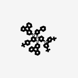 CC(C)(C)c1ccc(-c2cc3c4c(c2)N(c2ccc5c6ccccc6c6ccccc6c5c2)c2cc(-n5c6ccc(C(C)(C)C)cc6c6cc(C(C)(C)C)ccc65)ccc2B4c2cc(-c4ccccc4)ccc2N3c2ccc3c4ccccc4c4ccccc4c3c2)cc1